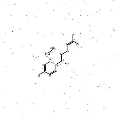 CC(C)=CCC[C@H](C)[C@@H]1C=CC(C)=CC1.CCO